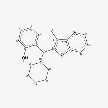 Cn1c(C(c2ccccc2O)N2CCCCC2)cc2ccccc21